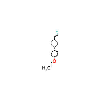 CCCOc1ccc(C2CCC(/C=C/F)CC2)cc1